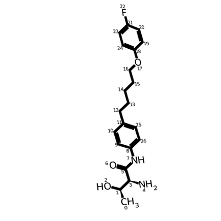 C[C@@H](O)[C@H](N)C(=O)Nc1ccc(CCCCCOc2ccc(F)cc2)cc1